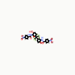 O=C(Nc1cc(C(c2ccc(O)c(NC(=O)c3ccc([N+](=O)[O-])cc3)c2)(C(F)(F)F)C(F)(F)F)ccc1O)c1ccc([N+](=O)[O-])cc1